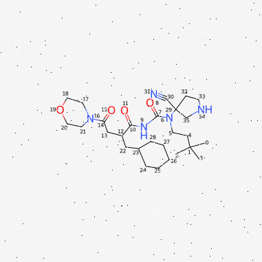 CC(C)(C)CCN(C(=O)NC(=O)C(CC(=O)N1CCOCC1)CC1CCCCC1)C1(C#N)CCNC1